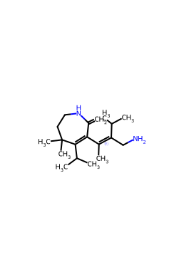 C=C1NCCC(C)(C)C(C(C)C)=C1/C(C)=C(/CN)C(C)C